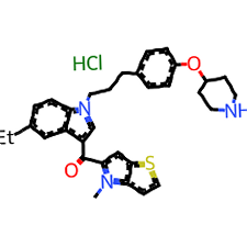 CCc1ccc2c(c1)c(C(=O)c1cc3sccc3n1C)cn2CCCc1ccc(OC2CCNCC2)cc1.Cl